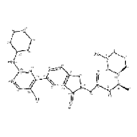 CC(=O)N1CCC[C@@H]([C@@H](C)NC(=O)CN2Cc3ccc(-c4nc(NC5CCOCC5)ncc4Cl)cc3C2=O)C1